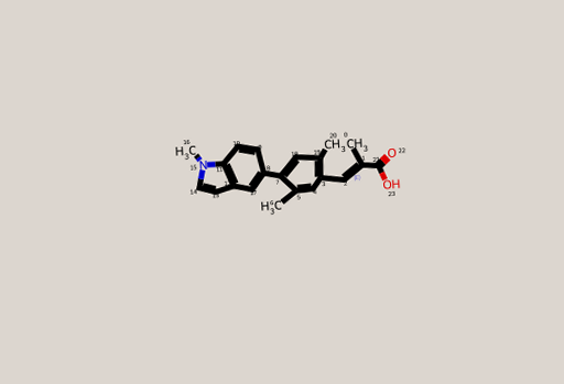 C/C(=C\c1cc(C)c(-c2ccc3c(ccn3C)c2)cc1C)C(=O)O